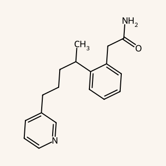 CC(CCCc1cccnc1)c1ccccc1CC(N)=O